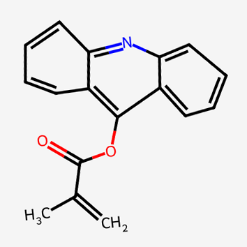 C=C(C)C(=O)Oc1c2ccccc2nc2ccccc12